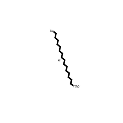 CCC(C)CCCCCCCCCCCCCCCCC(=O)[O-].[K+]